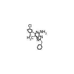 Cc1c(-c2cc(Cl)ccc2F)nc(N)c2nc(Cc3ccccc3)nn12